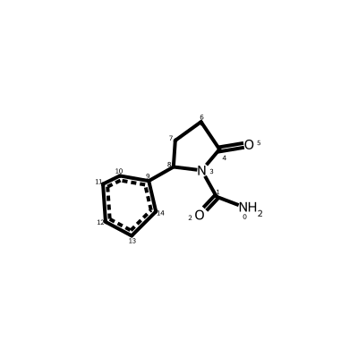 NC(=O)N1C(=O)[CH]CC1c1ccccc1